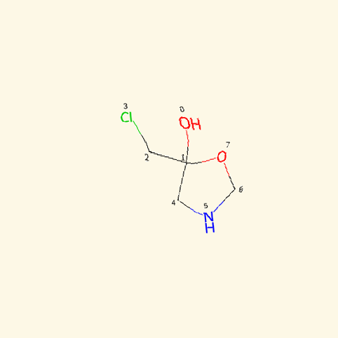 OC1(CCl)CNCO1